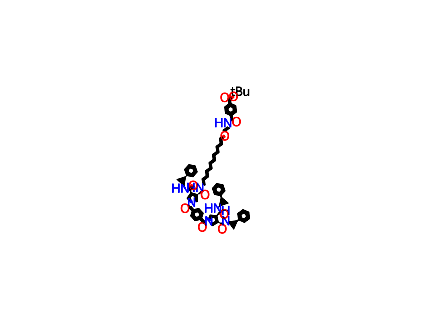 CC(C)(C)OC(=O)c1ccc(C(=O)NCCOCCCCCCCCCCCCNC(=O)[C@@H]2CN(C(=O)c3ccc(C(=O)N4C[C@@H](C(=O)N[C@H]5C[C@@H]5c5ccccc5)[C@H](C(=O)N[C@H]5C[C@@H]5c5ccccc5)C4)cc3)C[C@H]2C(=O)N[C@H]2C[C@@H]2c2ccccc2)cc1